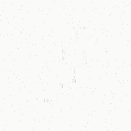 O=C(O)c1ccc(N=NS(=O)(=O)O)cc1